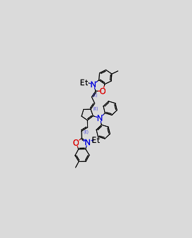 CCN1/C(=C/C=C2\CCC(/C=C/c3oc4cc(C)ccc4[n+]3CC)=C2N(c2ccccc2)c2ccccc2)Oc2cc(C)ccc21